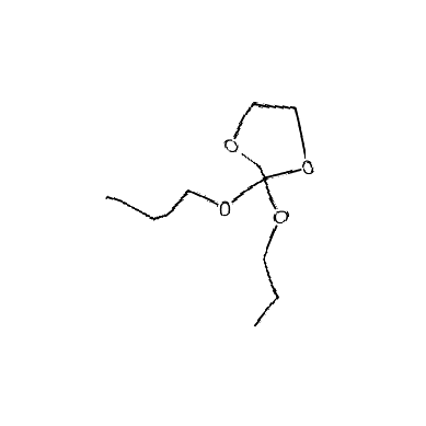 CCCOC1(OCCC)OCCO1